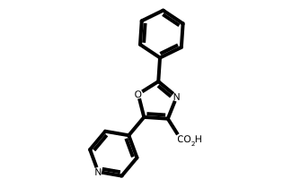 O=C(O)c1nc(-c2ccccc2)oc1-c1ccncc1